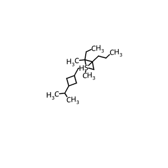 CCCC12C[SH]1(C)(CC1CC(C(C)C)C1)C2(C)CC